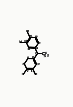 CC1=C(C)CCC(C(c2ccc(C)c(C)c2)C(F)(F)F)=C1